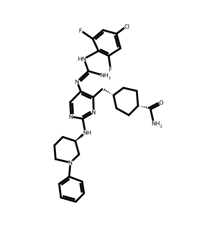 N/C(=N\c1cnc(N[C@@H]2CCCN(c3ccccc3)C2)nc1C[C@H]1CC[C@@H](C(N)=O)CC1)Nc1c(F)cc(Cl)cc1F